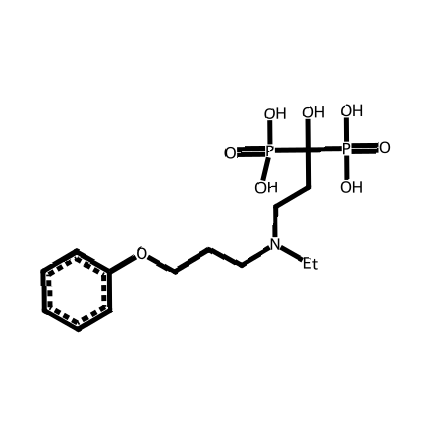 CCN(CCCOc1ccccc1)CCC(O)(P(=O)(O)O)P(=O)(O)O